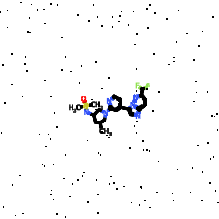 CC1CC(N=S(C)(C)=O)CN(c2cc(-c3cnc4ccc(C(F)F)nn34)ccn2)C1